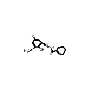 COc1cc(Br)cc(/C=N/NC(=O)C2=CCCC=C2)c1O